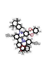 Cc1cc2c(cc1N1c3cc4c(cc3B3c5c(cc(C(C)(C)C)cc51)-c1ccc5c(c1N3c1ccc(C(C)(C)C)cc1-c1ccccc1)-c1ccccc1C5(C)C)Oc1ccccc1O4)C(C)(C)CCC2(C)C